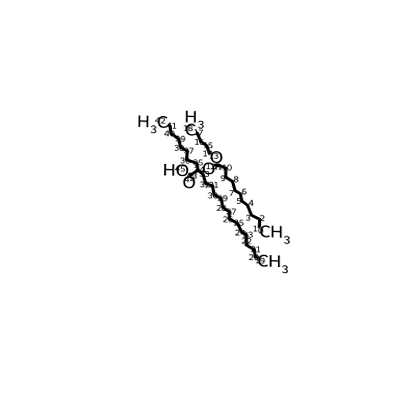 CCCCCCCCCCCC(=O)OCCCCC.CCCCCCCCCCCCCCCC(CCCCCCCC)C(=O)O